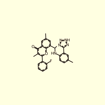 Cc1ccc(NC(C)c2cc(C)cc3c(=O)c(C)c(-c4ccccc4F)oc23)c(-c2nn[nH]n2)c1